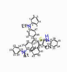 CCN(c1ccccc1)c1ccc(C(=C2C=CC(=[N+](CC)c3ccccc3)C=C2)c2sc(Nc3ccccc3)c(C#N)c2-c2ccccc2)cc1